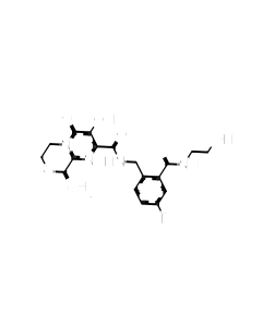 C=C1OCCn2c1nc(C(=O)NCc1ccc(F)cc1C(=O)NCCO)c(O)c2=O